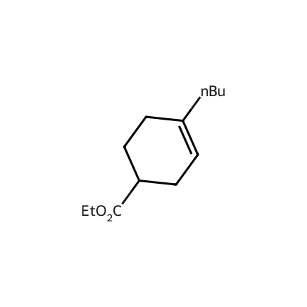 CCCCC1=CCC(C(=O)OCC)CC1